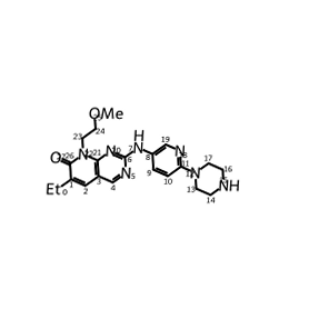 CCc1cc2cnc(Nc3ccc(N4CCNCC4)nc3)nc2n(CCOC)c1=O